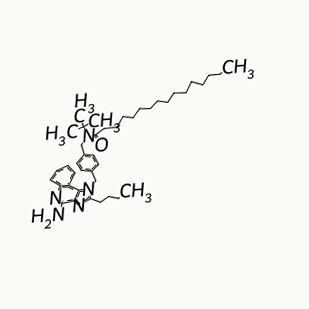 CCCCCCCCCCCCCCCC(=O)N(Cc1ccc(Cn2c(CCCC)nc3c(N)nc4ccccc4c32)cc1)C(C)(C)C